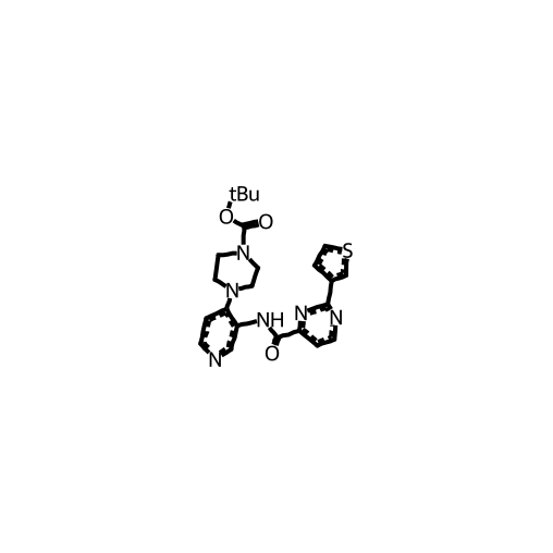 CC(C)(C)OC(=O)N1CCN(c2ccncc2NC(=O)c2ccnc(-c3ccsc3)n2)CC1